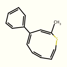 Cc1cc(-c2ccccc2)cccccs1